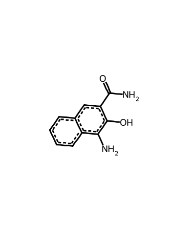 NC(=O)c1cc2ccccc2c(N)c1O